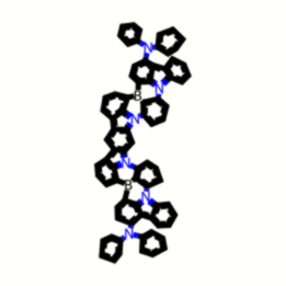 c1ccc(N(c2ccccc2)c2ccc3c4c2c2ccccc2n4-c2cccc4c2B3c2cccc3c5cc6c7cccc8c7n(c6cc5n-4c23)-c2cccc3c2B8c2ccc(N(c4ccccc4)c4ccccc4)c4c5ccccc5n-3c24)cc1